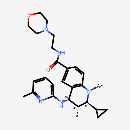 CC(=O)N1c2ccc(C(=O)NCCN3CCOCC3)cc2[C@H](Nc2cccc(C)n2)[C@@H](C)[C@@H]1C1CC1